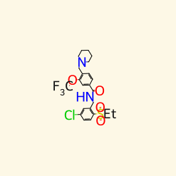 CCS(=O)(=O)c1ccc(Cl)cc1CNC(=O)c1ccc(CN2CCCCC2)c(OC(F)(F)F)c1